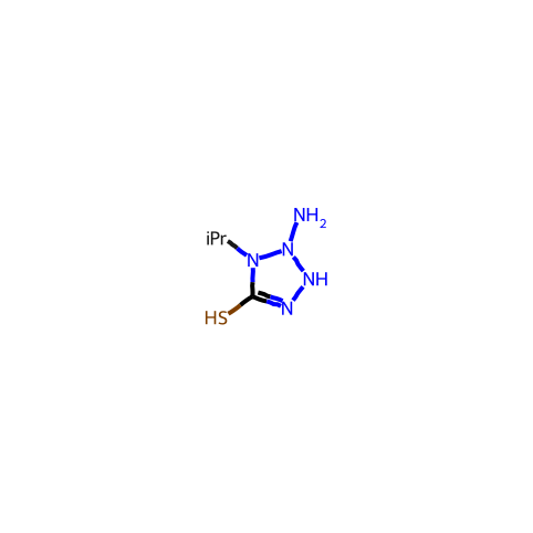 CC(C)N1C(S)=NNN1N